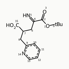 CC(C)(C)OC(=O)C(=N)CC(Cc1ccccn1)C(=O)O